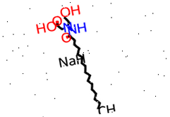 CCCCCCCCCCCCCCCCCC(=O)NN(CCO)CC(=O)O.[NaH]